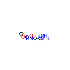 Nc1nccc(-c2ccc(NC(=O)c3ccc(Oc4ccccc4)cc3)cc2)n1